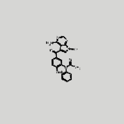 COc1ccc(C(=O)c2cn(C(C)C)c3ncnc(N)c23)cc1N(C(N)=O)c1ccccc1